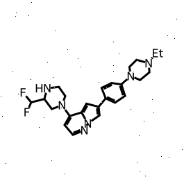 CCN1CCN(c2ccc(-c3cc4c(N5CCNC(C(F)F)C5)ccnn4c3)cc2)CC1